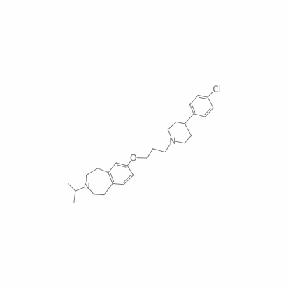 CC(C)N1CCc2ccc(OCCCN3CCC(c4ccc(Cl)cc4)CC3)cc2CC1